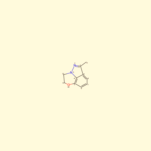 Cc1nn2c3c(cccc13)OCC2